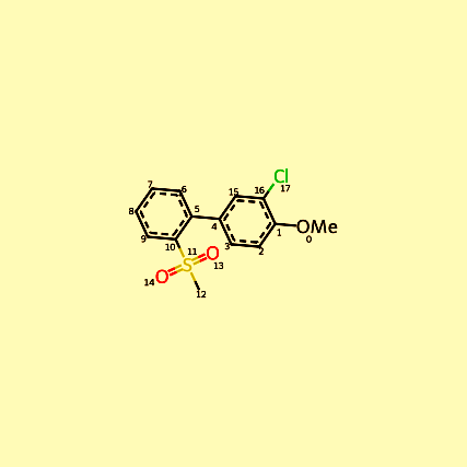 COc1ccc(-c2[c]cccc2S(C)(=O)=O)cc1Cl